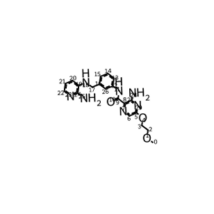 COCCOc1cnc(C(=O)Nc2cccc(CNc3cccnc3N)c2)c(N)n1